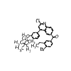 CCc1cc(C(=O)c2ccc3nc(Cl)cc(-c4cccc(O[Si](C)(C)C(C)(C)C)c4)c3c2)ccc1Br